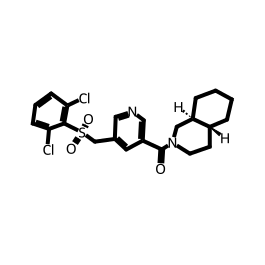 O=C(c1cncc(CS(=O)(=O)c2c(Cl)cccc2Cl)c1)N1CC[C@H]2CCCC[C@@H]2C1